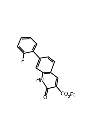 CCOC(=O)c1cc2ccc(-c3ccccc3F)cc2[nH]c1=O